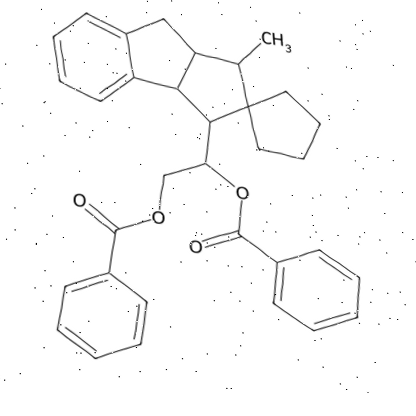 CC1C2Cc3ccccc3C2C(C(COC(=O)c2ccccc2)OC(=O)c2ccccc2)C12CCCC2